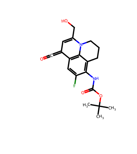 CC(C)(C)OC(=O)Nc1c(F)cc2c3c1CCCN3C(CO)=CC2=C=O